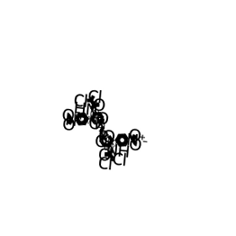 O=C(N[C@@H]1CO[P@@](CC[P@]2OC[C@@H](NC(=O)C(Cl)Cl)[C@@H](c3ccc([N+](=O)[O-])cc3)O2)O[C@@H]1c1ccc([N+](=O)[O-])cc1)C(Cl)Cl